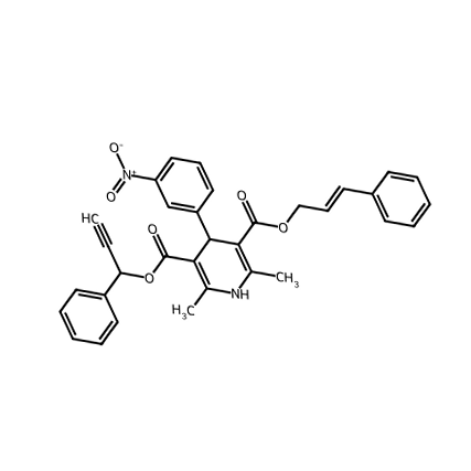 C#CC(OC(=O)C1=C(C)NC(C)=C(C(=O)OC/C=C/c2ccccc2)C1c1cccc([N+](=O)[O-])c1)c1ccccc1